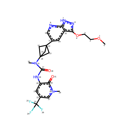 COCCOc1n[nH]c2ncc(C34CC(N(C)C(=O)Nc5cc(C(F)(F)F)cn(C)c5=O)(C3)C4)cc12